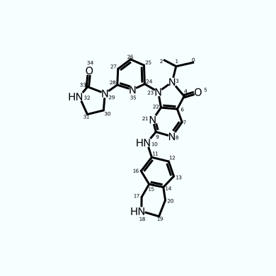 CC(C)n1c(=O)c2cnc(Nc3ccc4c(c3)CNCC4)nc2n1-c1cccc(N2CCNC2=O)n1